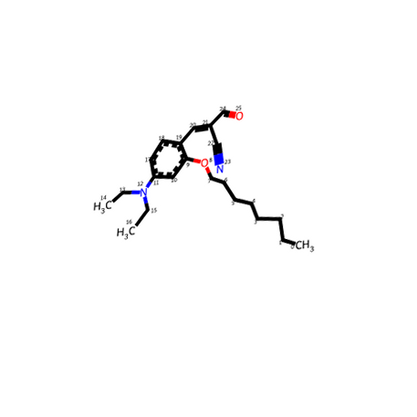 CCCCCCCCOc1cc(N(CC)CC)ccc1/C=C(\C#N)C=O